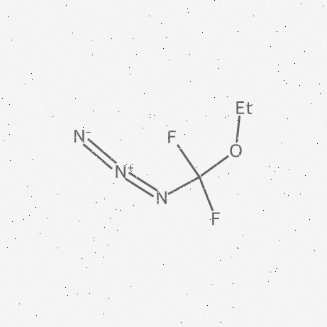 CCOC(F)(F)N=[N+]=[N-]